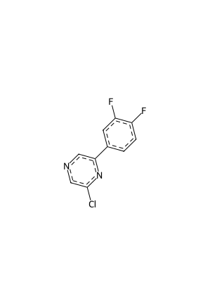 Fc1ccc(-c2cncc(Cl)n2)cc1F